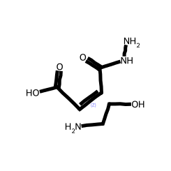 NCCO.NNC(=O)/C=C\C(=O)O